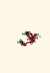 NC(=O)CC[C@H](NC(=O)[C@@H]1CC[C@@H]2CCN(C(=O)CCCCCC#Cc3cccc4c3CN(C3CCC(=O)NC3=O)C4=O)C[C@H](NC(=O)c3cc4cc(C(F)(F)OP(O)O)ccc4s3)C(=O)N21)c1nc(-c2ccc(Cl)cc2)cs1